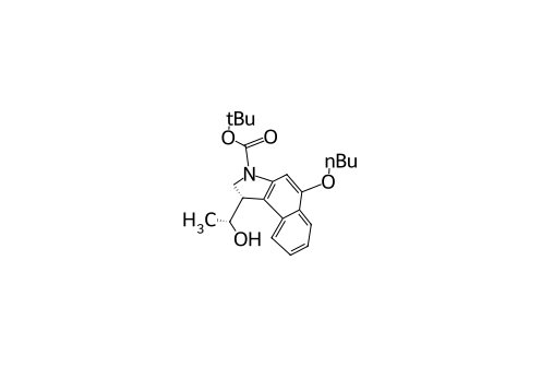 CCCCOc1cc2c(c3ccccc13)[C@H]([C@@H](C)O)CN2C(=O)OC(C)(C)C